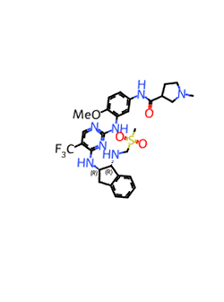 COc1ccc(NC(=O)C2CCN(C)C2)cc1Nc1ncc(C(F)(F)F)c(N[C@@H]2Cc3ccccc3[C@H]2NCS(C)(=O)=O)n1